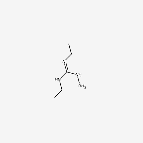 CCN=C(NN)NCC